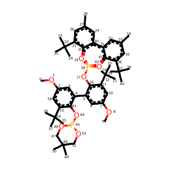 COc1cc(-c2cc(OC)cc(C(C)(C)C)c2Op2oc3c(C(C)(C)C)cc(C)cc3c3cc(C)cc(C(C)(C)C)c3o2)c(OP2OCC(C)(C)CO2)c(C(C)(C)C)c1